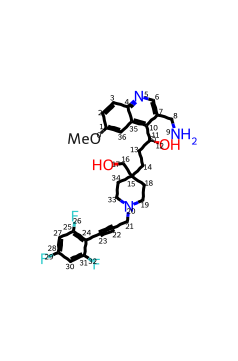 COc1ccc2ncc(CN)c([C@@H](O)CCC3(CO)CCN(CC#Cc4c(F)cc(F)cc4F)CC3)c2c1